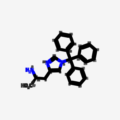 N[C@@H](Cc1cn(C(c2ccccc2)(c2ccccc2)c2ccccc2)cn1)C(=O)O